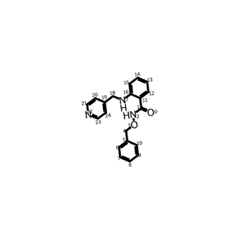 O=C(NOCc1ccccc1)c1ccccc1NCc1ccncc1